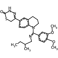 CCC(C)CN=C(c1ccc(OC)c(OC)c1)N1CCCc2cc(C3=NNC(=O)SC3)ccc21